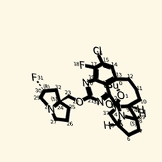 CC(C)(C)OC(=O)N1[C@@H]2CC[C@H]1[C@H]1CCCc3cc(Cl)c(F)c4nc(OC[C@@]56CCCN5C[C@H](F)C6)nc(c34)N1C2